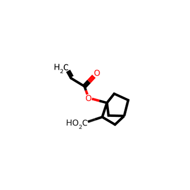 C=CC(=O)OC12CCC(CC1C(=O)O)C2